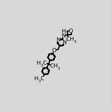 Cc1ccc(C(C)(C)c2ccc(OCc3cnc(NC4(C)COC4)nc3)cc2)cc1